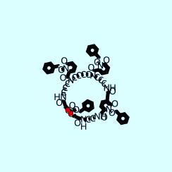 O=C1NCCCN(C(=O)c2cccc(=O)n2OCc2ccccc2)CCCCN(C(=O)c2cccc(=O)n2OCc2ccccc2)CCCNC(=O)c2ccc(n(OCc3ccccc3)c2=O)C(=O)NCCNC(=O)c2ccc1c(=O)n2OCc1ccccc1